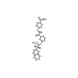 CN(Cc1cccc(C(=O)NCc2ccc(C(=O)O)cc2)c1)S(=O)(=O)c1ccc2ccccc2c1